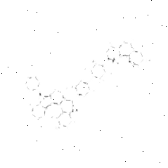 c1ccc(-n2c3ccccc3c3c4c(ccc32)c(-c2ccc(-c3ccc(-c5ccc6ccc7cccnc7c6n5)cc3)cc2)nc2ccccc24)cc1